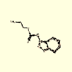 O=C(OCCO)On1nnc2ccccc21